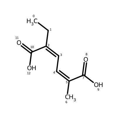 CCC(=CC=C(C)C(=O)O)C(=O)O